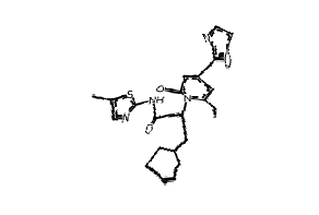 Cc1cnc(NC(=O)C(CC2CCCCC2)n2c(C)cc(-c3ncco3)cc2=O)s1